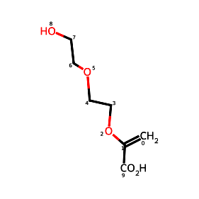 C=C(OCCOCCO)C(=O)O